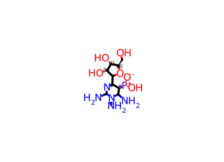 NC1N=C(C2O[C@H](CO)[C@@H](O)[C@H]2O)/C(=[P+](\[O-])O)C(N)N1N